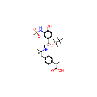 CC(C(=O)O)c1ccc(C[C@@H](C)NC[C@@H](O[Si](C)(C)C(C)(C)C)c2ccc(O)c(NS(C)(=O)=O)c2)cc1